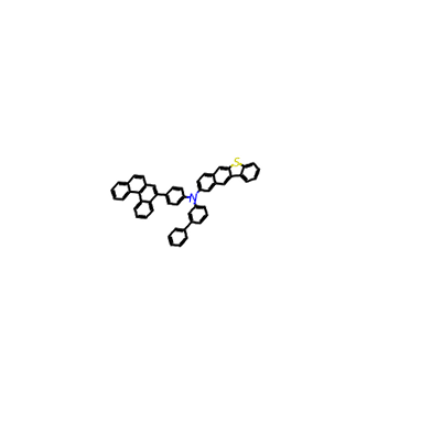 c1ccc(-c2cccc(N(c3ccc(-c4cc5ccc6ccccc6c5c5ccccc45)cc3)c3ccc4cc5sc6ccccc6c5cc4c3)c2)cc1